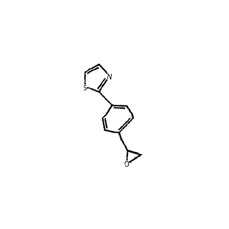 c1csc(-c2ccc(C3CO3)cc2)n1